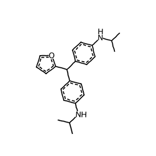 CC(C)Nc1ccc(C(c2ccc(NC(C)C)cc2)c2ccco2)cc1